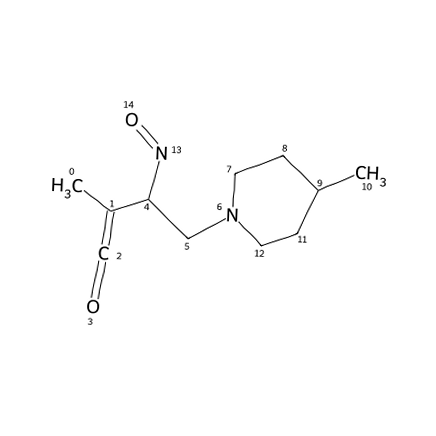 CC(=C=O)C(CN1CCC(C)CC1)N=O